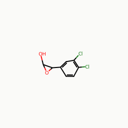 OC1OC1c1ccc(Cl)c(Cl)c1